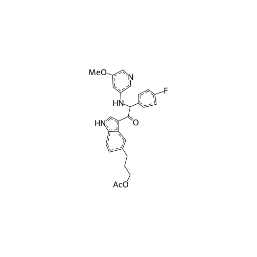 COc1cncc(NC(C(=O)c2c[nH]c3ccc(CCCOC(C)=O)cc23)c2ccc(F)cc2)c1